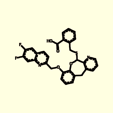 O=C(O)c1ccccc1CSC1Oc2c(cccc2OCc2ccc3cc(F)c(F)cc3n2)Cc2cccnc21